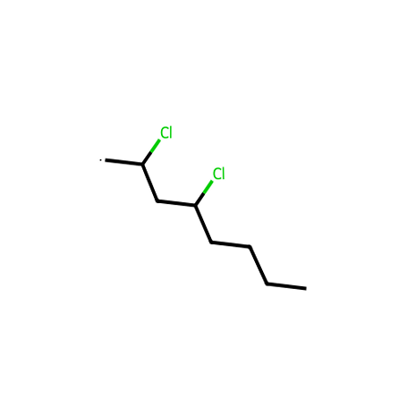 [CH2]C(Cl)CC(Cl)CCCC